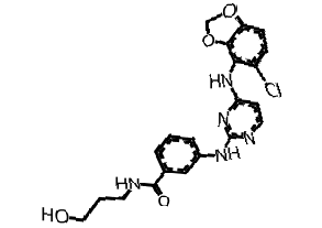 O=C(NCCCO)c1cccc(Nc2nccc(Nc3c(Cl)ccc4c3OCO4)n2)c1